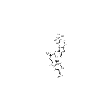 CN(Cc1nc2cc(C3CC3)ccc2[nH]1)C(=O)Cn1c(=O)oc2ccc(C(F)(F)F)cc21